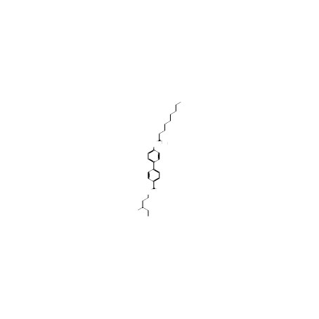 CCCCCCCCC(=O)Oc1ccc(-c2ccc(C(=O)OCCC(C)CC)cc2)cc1